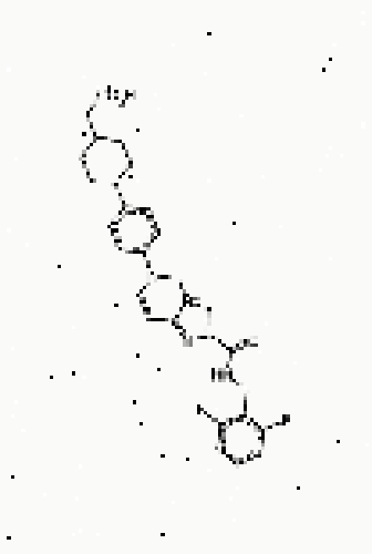 O=C(O)CC1CCC(c2ccc(N3C=CC4=NC(C(=O)NCc5c(F)cccc5F)=C[N+]4C3)cc2)CC1